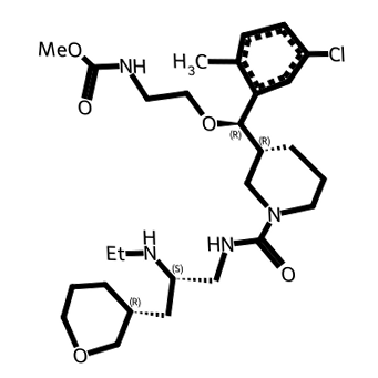 CCN[C@H](CNC(=O)N1CCC[C@@H]([C@@H](OCCNC(=O)OC)c2cc(Cl)ccc2C)C1)C[C@H]1CCCOC1